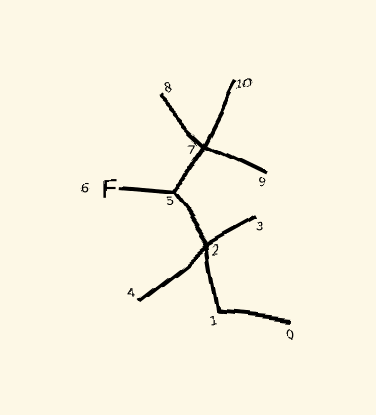 CCC(C)(C)C(F)C(C)(C)C